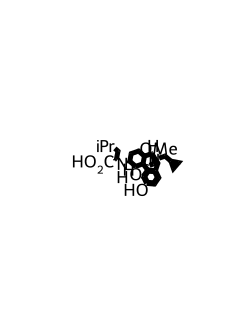 CO[C@@]12CC[C@H](N[C@@H](CC(C)C)C(=O)O)[C@@H]3Oc4c(O)ccc5c4[C@@]31CCN(CC1CC1)[C@@H]2C5